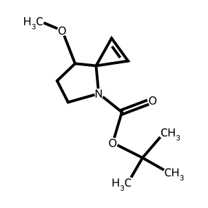 COC1CCN(C(=O)OC(C)(C)C)C12C=C2